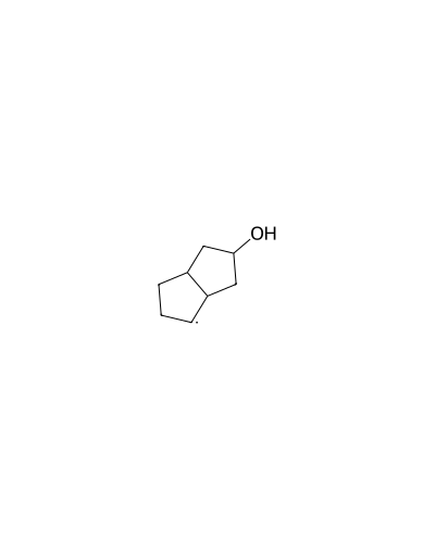 OC1CC2[CH]CCC2C1